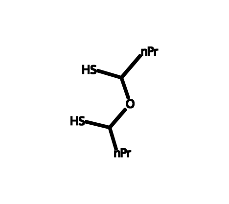 CCCC(S)OC(S)CCC